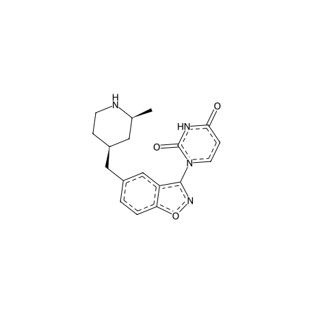 C[C@H]1C[C@@H](Cc2ccc3onc(-n4ccc(=O)[nH]c4=O)c3c2)CCN1